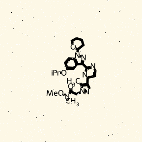 CON(C)C(=O)Cn1ncc(-c2ccnc(-c3nn(C4CCCCO4)c4ccc(OC(C)C)cc34)n2)c1C